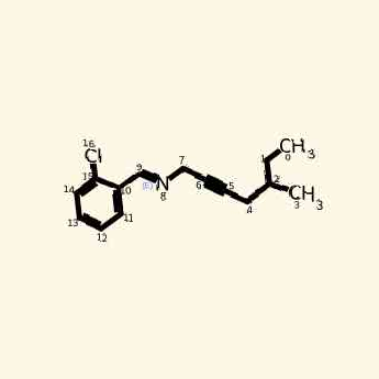 CCC(C)CC#CC/N=C/c1ccccc1Cl